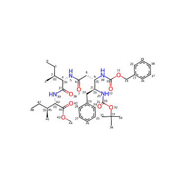 CC[C@H](C)[C@H](NC(=O)C[C@H](NC(=O)OCc1ccccc1)[C@H](Cc1ccccc1)NC(=O)OC(C)(C)C)C(=O)N[C@H](C(=O)OC)[C@@H](C)CC